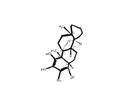 C[C@@]12CCC[C@H]1[C@@H]1CC[C@@H]3C(O)=C(O)C(O)=C(O)[C@]3(C)[C@H]1CC2